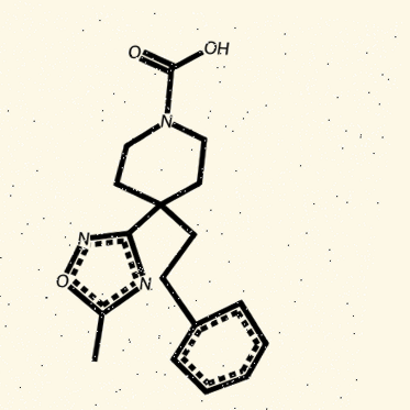 Cc1nc(C2(CCc3ccccc3)CCN(C(=O)O)CC2)no1